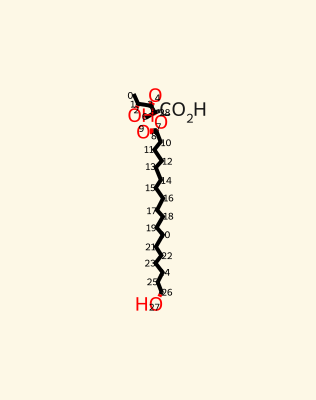 CC(O)C(=O)C(C)(OC(=O)CCCCCCCCCCCCCCCCCO)C(=O)O